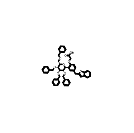 O=C(O)COc1ccc(Cc2cc3ccccc3s2)cc1[C@@H]1O[C@H](COCc2ccccc2)[C@@H](OCc2ccccc2)[C@H](OCc2ccccc2)[C@H]1OCc1ccccc1